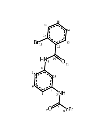 CCCC(=O)Nc1ccnc(NC(=O)c2ccccc2Br)c1